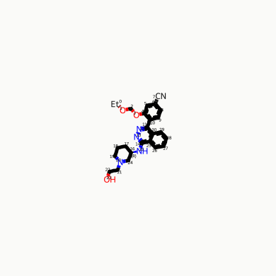 CCOCOc1cc(C#N)ccc1-c1nnc(N[C@@H]2CCCN(CCO)C2)c2ccccc12